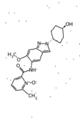 COc1cc2nn([C@H]3CC[C@H](O)CC3)cc2cc1NC(=O)c1cccc(C)[n+]1[O-]